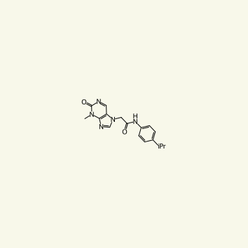 CC(C)c1ccc(NC(=O)Cn2cnc3c2cnc(=O)n3C)cc1